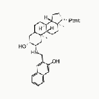 CCC[C@@H](C)[C@H]1CC[C@H]2[C@@H]3CCC4C[C@@H](O)[C@H](NCc5cc6ccccc6cc5O)C[C@]4(C)[C@H]3CC[C@]12C